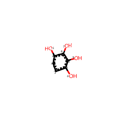 Oc1[c]cc(O)c(O)c1O